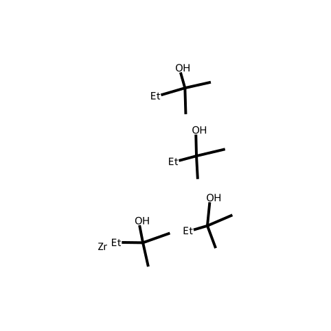 CCC(C)(C)O.CCC(C)(C)O.CCC(C)(C)O.CCC(C)(C)O.[Zr]